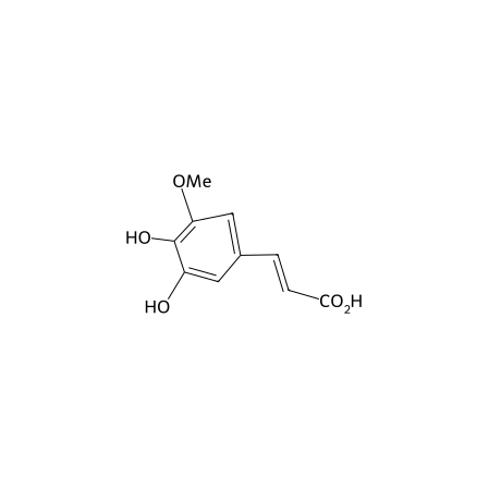 COc1cc(/C=C/C(=O)O)cc(O)c1O